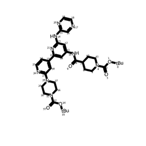 CC(C)(C)OC(=O)N1CCC(C(=O)Nc2cc(Nc3cnccn3)nc(-c3ccnc(N4CCN(C(=O)OC(C)(C)C)CC4)c3)c2)CC1